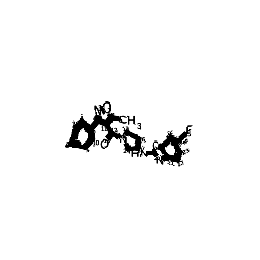 Cc1onc(-c2ccccc2)c1C(=O)N1CC[C@@H](Nc2nc3ccc(F)cc3o2)C1